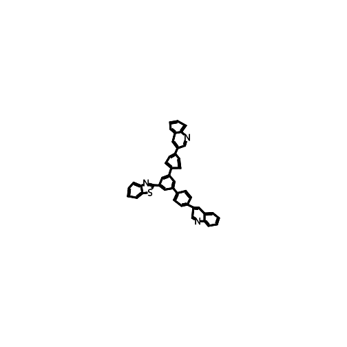 c1ccc2ncc(-c3ccc(-c4cc(-c5ccc(-c6cnc7ccccc7c6)cc5)cc(-c5nc6ccccc6s5)c4)cc3)cc2c1